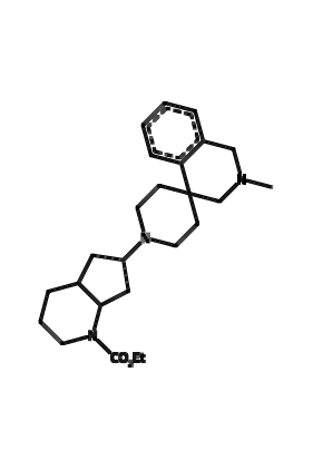 CCOC(=O)N1CCCC2CC(N3CCC4(CC3)CN(C)Cc3ccccc34)CC21